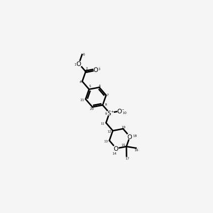 COC(=O)Cc1ccc([S+]([O-])CC2COC(C)(C)OC2)cc1